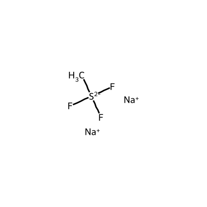 C[S-2](F)(F)F.[Na+].[Na+]